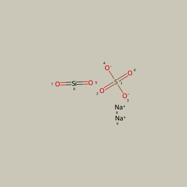 O=S(=O)([O-])[O-].O=[Si]=O.[Na+].[Na+]